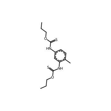 CCCOC(=S)Nc1ccc(C)c(NC(=S)OCCC)c1